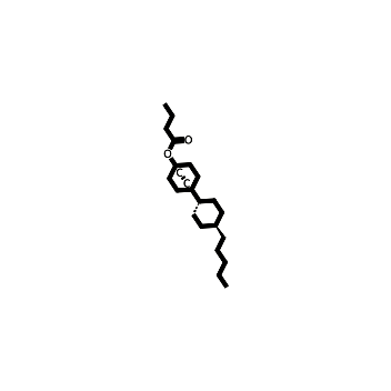 CCCCC[C@H]1CC[C@H](C23CCC(OC(=O)CCC)(CC2)CC3)CC1